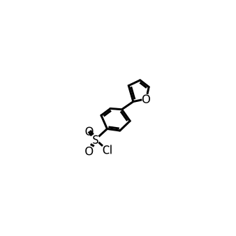 O=S(=O)(Cl)c1ccc(-c2ccco2)cc1